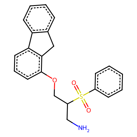 NCC(COc1cccc2c1Cc1ccccc1-2)S(=O)(=O)c1ccccc1